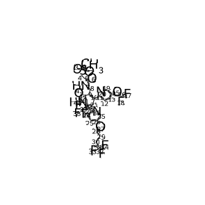 CS(=O)(=O)CC(=O)NCC1=C(c2ccc(OC(F)F)cn2)C[C@@](c2ccc(OCCCC(F)(F)F)cn2)(C(F)(F)F)NC1=O